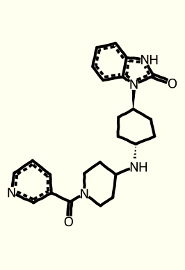 O=C(c1cccnc1)N1CCC(N[C@H]2CC[C@H](n3c(=O)[nH]c4ccccc43)CC2)CC1